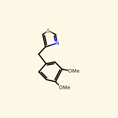 COc1ccc(Cc2cs[c]n2)cc1OC